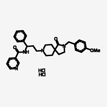 COc1ccc(CN2CCC3(CCN(CCC(NC(=O)c4cccnc4)c4ccccc4)CC3)C2=O)cc1.Cl.Cl